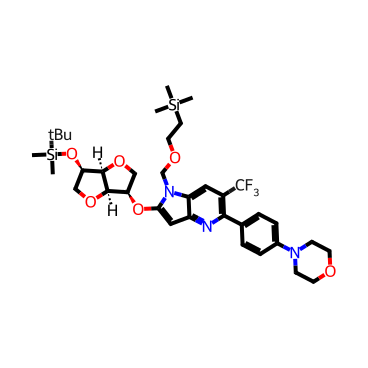 CC(C)(C)[Si](C)(C)O[C@@H]1CO[C@H]2[C@@H]1OC[C@H]2Oc1cc2nc(-c3ccc(N4CCOCC4)cc3)c(C(F)(F)F)cc2n1COCC[Si](C)(C)C